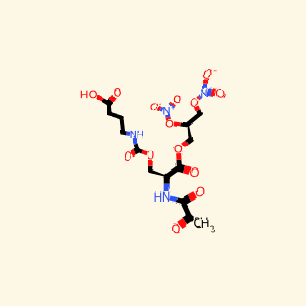 CC(=O)C(=O)N[C@@H](COC(=O)NCCCC(=O)O)C(=O)OC[C@H](CO[N+](=O)[O-])O[N+](=O)[O-]